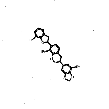 CC(C)c1cccc2c1OC(c1ccc3c(c1C(C)C)OCC(c1cc4c(c(C(C)C)c1)OCO4)C3)C2